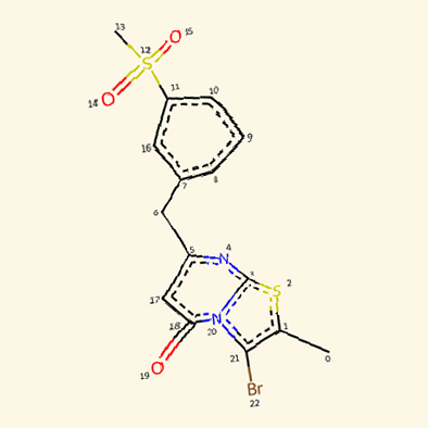 Cc1sc2nc(Cc3cccc(S(C)(=O)=O)c3)cc(=O)n2c1Br